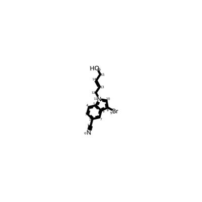 N#Cc1ccc2c(c1)c(Br)cn2C/C=C/CO